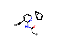 C#Cc1cccnc1NC(=O)CC(C)C.c1cc2cc-2c1